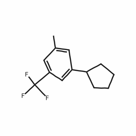 Cc1cc(C2CCCC2)cc(C(F)(F)F)c1